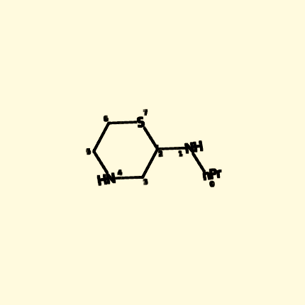 CCCN[C]1CNCCS1